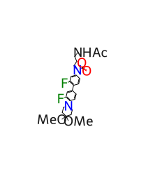 COC1(OC)CCN(c2ccc(-c3ccc(N4CC(CNC(C)=O)OC4=O)cc3F)cc2F)CC1